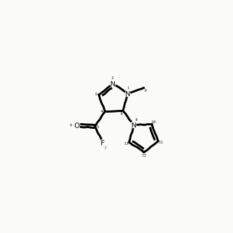 CN1N=CC(C(=O)F)C1n1cccc1